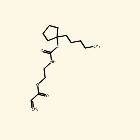 C=CC(=O)OCCNC(=O)OC1(CCCCC)CCCC1